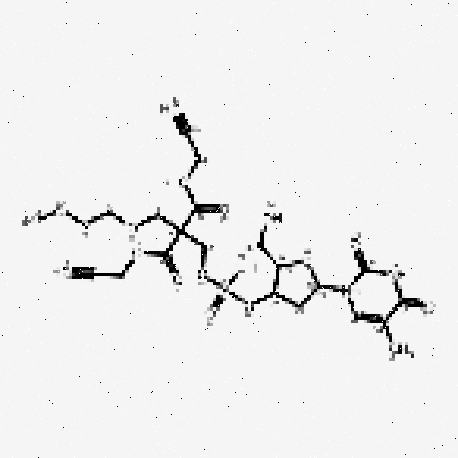 C#CCOC(=O)C(COCSSC(C)C)(COP(=O)(O)OC1C[C@H](n2cc(C)c(=O)[nH]c2=O)O[C@@H]1CO)C(=O)OCC#C